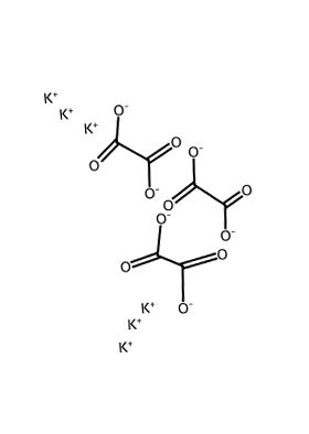 O=C([O-])C(=O)[O-].O=C([O-])C(=O)[O-].O=C([O-])C(=O)[O-].[K+].[K+].[K+].[K+].[K+].[K+]